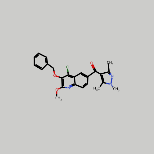 COc1nc2ccc(C(=O)c3c(C)nn(C)c3C)cc2c(Cl)c1OCc1ccccc1